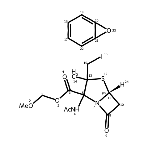 COCOC(=O)C1(NC(C)=O)N2C(=O)C[C@H]2SC1(C)CI.c1ccc2c(c1)O2